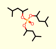 CC(C)CC(C)OP(=O)(OC(C)CC(C)C)OC(C)CC(C)C